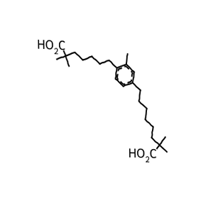 Cc1cc(CCCCCCC(C)(C)C(=O)O)ccc1CCCCCC(C)(C)C(=O)O